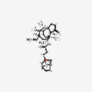 C=C[C@]1(C)C[C@@H](OC(=O)CSC2CC3CCC(C2)N3C)[C@]2(C)[C@H](C)CC[C@]3(CCC(=O)[C@H]32)[C@@H](C)[C@@H]1O